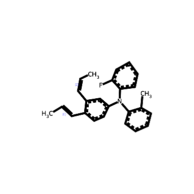 C/C=C\c1cc(N(c2ccccc2C)c2ccccc2F)ccc1/C=C/C